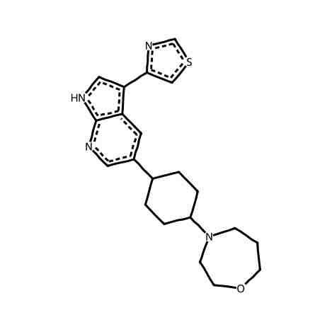 c1nc(-c2c[nH]c3ncc(C4CCC(N5CCCOCC5)CC4)cc23)cs1